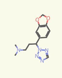 CN(C)CCC(c1ccc2c(c1)OCO2)n1ncnn1